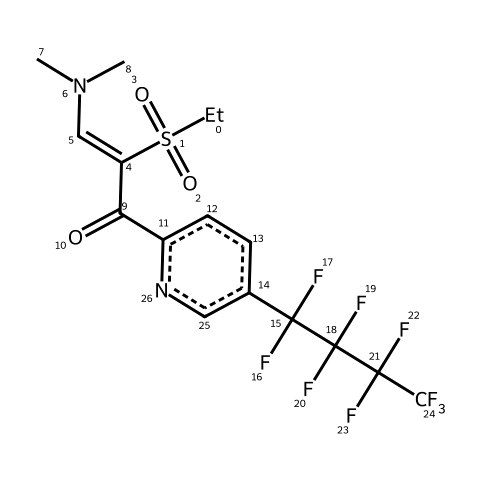 CCS(=O)(=O)C(=CN(C)C)C(=O)c1ccc(C(F)(F)C(F)(F)C(F)(F)C(F)(F)F)cn1